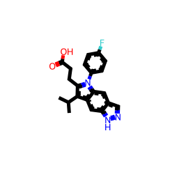 CC(C)c1c(CCC(=O)O)n(-c2ccc(F)cc2)c2cc3cn[nH]c3cc12